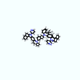 CC1(C)c2ccccc2N(c2ccc3cc(N4c5ccccc5C(C)(C)c5cc6c7c8ccccc8ccc7n(-c7cccnc7)c6cc54)ccc3c2)c2cc3c(cc21)c1c2ccccc2ccc1n3-c1cccnc1